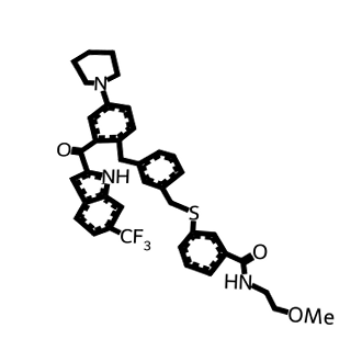 COCCNC(=O)c1cccc(SCc2cccc(Cc3ccc(N4CCCCC4)cc3C(=O)c3cc4ccc(C(F)(F)F)cc4[nH]3)c2)c1